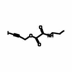 CCCNC(=O)C(=O)OCC#CI